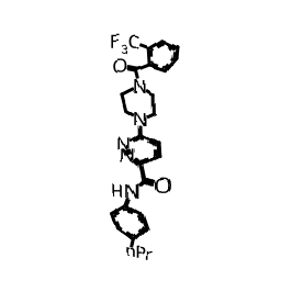 CCCc1ccc(NC(=O)c2ccc(N3CCN(C(=O)c4ccccc4C(F)(F)F)CC3)nn2)cc1